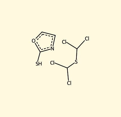 ClC(Cl)SC(Cl)Cl.Sc1ncco1